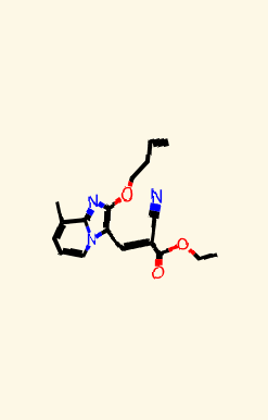 C=CCCOc1nc2c(C)cccn2c1C=C(C#N)C(=O)OCC